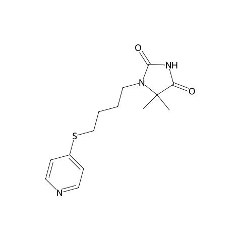 CC1(C)C(=O)NC(=O)N1CCCCSc1ccncc1